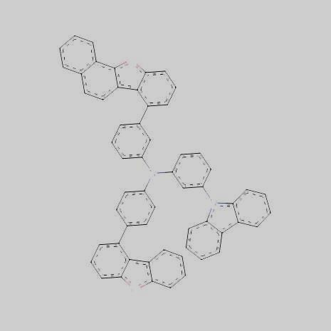 c1cc(-c2cccc3oc4c5ccccc5ccc4c23)cc(N(c2ccc(-c3cccc4oc5ccccc5c34)cc2)c2cccc(-n3c4ccccc4c4ccccc43)c2)c1